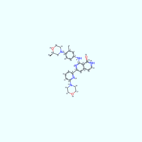 Cc1cc(Nc2nc(-c3cccc(N4CCOCC4)n3)cc3cc[nH]c(=O)c23)ccc1N1CCO[C@H](C)C1